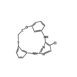 Clc1cnc2nc1Nc1cccc(c1)OCCSc1cccc(c1)N2